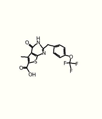 Cc1c(C(=O)O)sc2nc(Cc3ccc(OC(F)(F)F)cc3)[nH]c(=O)c12